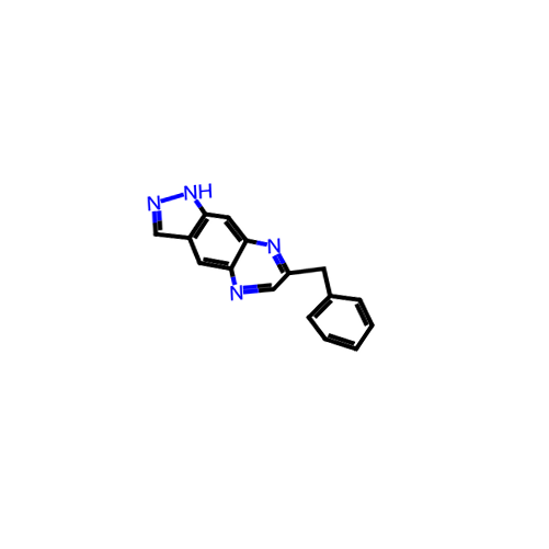 c1ccc(Cc2cnc3cc4cn[nH]c4cc3n2)cc1